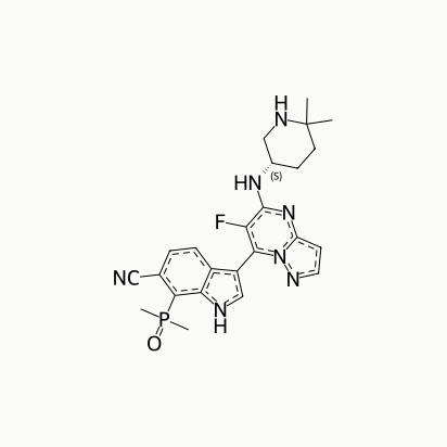 CC1(C)CC[C@H](Nc2nc3ccnn3c(-c3c[nH]c4c(P(C)(C)=O)c(C#N)ccc34)c2F)CN1